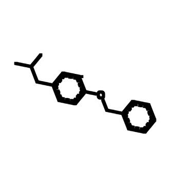 CC(C)Cc1c[c]c(OCc2ccccc2)cc1